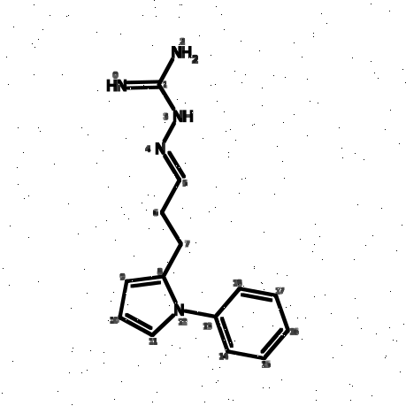 N=C(N)NN=CCCc1cccn1-c1ccccc1